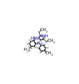 CCc1[nH]c(CC)c2c1Nc1ccc(C)cc1N2c1ccc(C)cc1